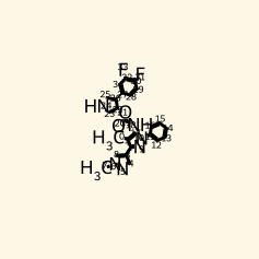 Cc1c(-c2cnn(C)c2)nn(-c2ccccc2)c1NC(=O)O[C@@H]1CNC[C@H]1c1ccc(F)c(F)c1